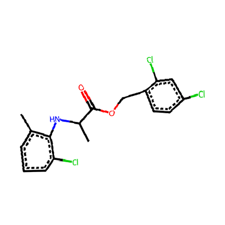 Cc1cccc(Cl)c1NC(C)C(=O)OCc1ccc(Cl)cc1Cl